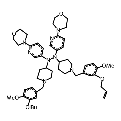 C=CCOc1cc(CN2CCC(N(c3ccc(N4CCOCC4)nc3)N(c3ccc(N4CCOCC4)nc3)C3CCN(Cc4ccc(OC)c(OCC(C)C)c4)CC3)CC2)ccc1OC